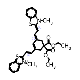 CCOC(=O)C1(C(=O)OCC)CC(/C=C/c2sc3ccccc3[n+]2C)=CC(=C/C=C2\Sc3ccccc3N2C)/C1